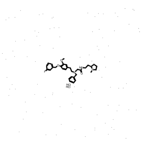 COc1cc(CCN(CC(=O)NCCC2CCCN2C)Cc2ccccc2)ccc1OCc1cccc(F)c1.Cl.Cl